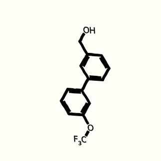 OCc1cccc(-c2cccc(OC(F)(F)F)c2)c1